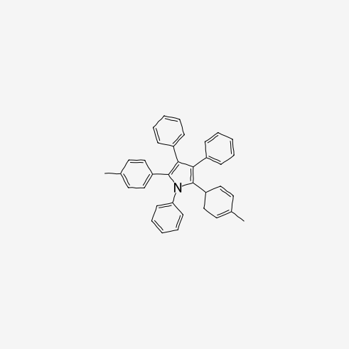 CC1=CCC(c2c(-c3ccccc3)c(-c3ccccc3)c(-c3ccc(C)cc3)n2-c2ccccc2)C=C1